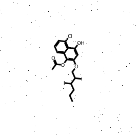 CCCC(I)C(I)COc1cc(O)c2c(Cl)cccc2c1OC(C)=O